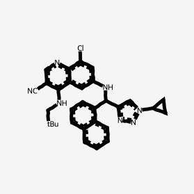 CC(C)(C)CNc1c(C#N)cnc2c(Cl)cc(NC(c3cn(C4CC4)nn3)c3cccc4ccccc34)cc12